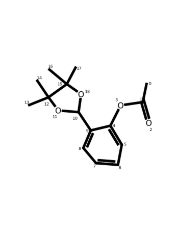 CC(=O)Oc1ccccc1C1OC(C)(C)C(C)(C)O1